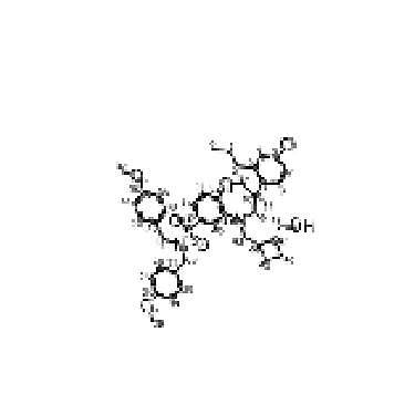 CCCc1cc(Cl)ccc1[C@]1(C)COc2ccc(S(=O)(=O)N(Cc3ccc(OC)cc3)Cc3ccc(OC)cc3)cc2N(C[C@@H]2CC[C@H]2CO)C1